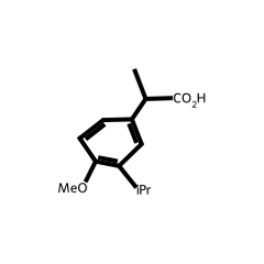 COc1ccc(C(C)C(=O)O)cc1C(C)C